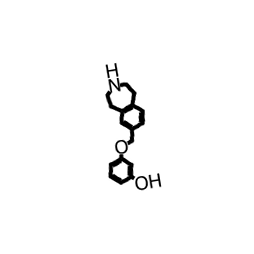 Oc1cccc(OCc2ccc3c(c2)CCNCC3)c1